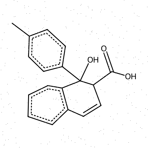 Cc1ccc(C2(O)c3ccccc3C=CC2C(=O)O)cc1